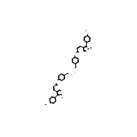 COc1ccc(-c2c(/C=C\C(=O)Nc3ccc(CO[PH](=O)OCc4ccc(NC(=O)/C=C\c5cnn(C)c5-c5ccc(OC)cc5)cc4)cc3)cnn2C)cc1